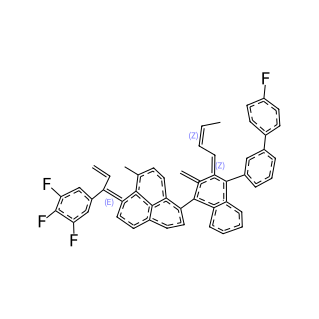 C=C/C(c1cc(F)c(F)c(F)c1)=c1/ccc2ccc(-c3c(=C)/c(=C\C=C/C)c(-c4cccc(-c5ccc(F)cc5)c4)c4ccccc34)c3ccc(C)c1c23